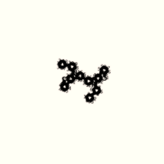 c1ccc(-c2cccc(-n3c4ccc(-c5ccc6c(c5)c5cc7c(cc5n6-c5cccc(-c6ccccc6)c5)sc5ccccc57)cc4c4cc5c(cc43)sc3ccccc35)c2)cc1